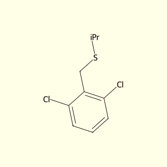 CC(C)SCc1c(Cl)cccc1Cl